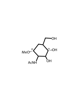 CO[C@@H]1CC(CO)[C@H](O)C(O)C1NC(C)=O